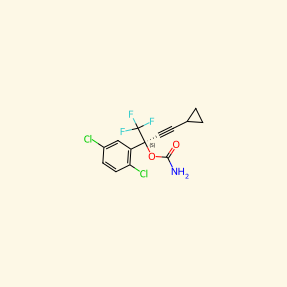 NC(=O)O[C@@](C#CC1CC1)(c1cc(Cl)ccc1Cl)C(F)(F)F